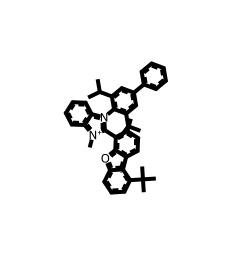 Cc1ccc2c(oc3cccc(C(C)(C)C)c32)c1-c1n(-c2c(C(C)C)cc(-c3ccccc3)cc2C(C)C)c2ccccc2[n+]1C